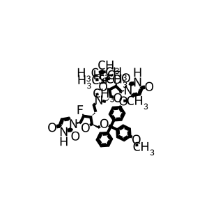 COc1ccc(C(OC[C@H]2O[C@@H](n3ccc(=O)[nH]c3=O)[C@H](F)[C@@H]2CCN(C)C[C@H]2O[C@@H](n3ccc(=O)[nH]c3=O)[C@H](OC)[C@@H]2O[Si](C)(C)C(C)(C)C)(c2ccccc2)c2ccc(OC)cc2)cc1